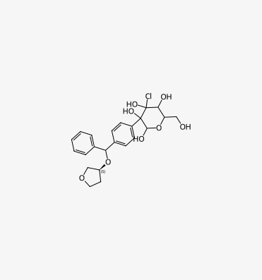 OCC1OC(O)C(O)(c2ccc(C(O[C@H]3CCOC3)c3ccccc3)cc2)C(O)(Cl)C1O